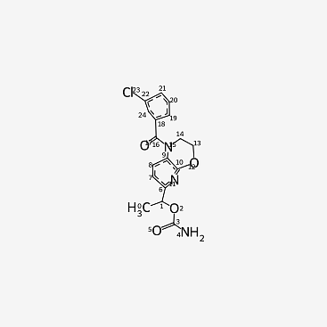 CC(OC(N)=O)c1ccc2c(n1)OCCN2C(=O)c1cccc(Cl)c1